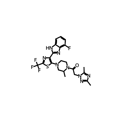 Cc1nc(C)n(CC(=O)N2CCN(c3sc(C(F)(F)F)nc3-c3nc4c(F)cccc4[nH]3)CC2C)n1